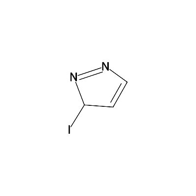 IC1C=CN=N1